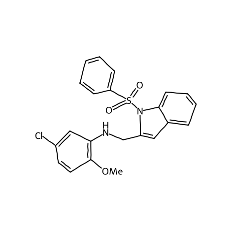 COc1ccc(Cl)cc1NCc1cc2ccccc2n1S(=O)(=O)c1ccccc1